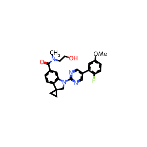 COc1ccc(F)c(-c2cnc(N3CC4(CC4)c4ccc(C(=O)N(C)CCO)cc43)nc2)c1